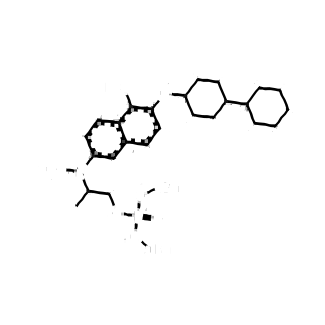 CC(COP(=O)(OC(C)(C)C)OC(C)(C)C)N(C(=O)O)c1ccc2c(C(F)(F)F)c(OC3CCC(C4CCCCC4)CC3)ccc2c1